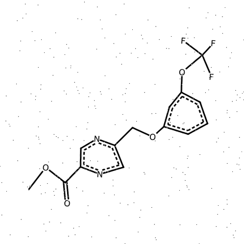 COC(=O)c1cnc(COc2cccc(OC(F)(F)F)c2)cn1